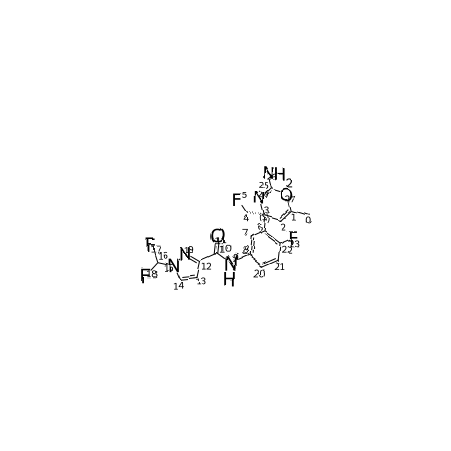 CC1=C[C@@](CF)(c2cc(NC(=O)c3ccn(C(F)F)n3)ccc2F)N=C(N)O1